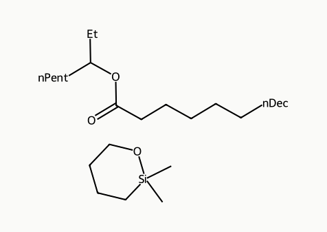 CCCCCCCCCCCCCCCC(=O)OC(CC)CCCCC.C[Si]1(C)CCCCO1